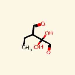 CCC(C=O)C(O)(O)C=O